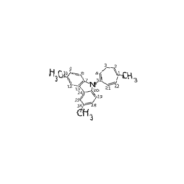 CC1=CCC=C(n2c3ccc(C)cc3c3cc(C)ccc32)C=C1